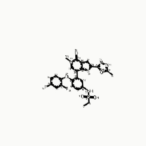 CCS(=O)(=O)Nc1ccc(Oc2ccc(F)cc2F)c(-c2cn(C)c(=O)c3cc(-c4nnc(C)o4)sc23)c1